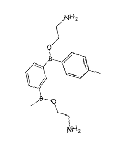 CB(OCCN)c1cccc(B(OCCN)c2ccc(C)cc2)c1